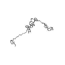 CCCCCCCCCCCCCCNC(=O)Oc1ccc2ccc(OCCCCN3CCN(c4cccc5sccc45)CC3)cc2n1